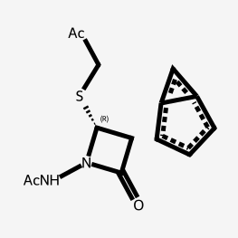 CC(=O)CS[C@@H]1CC(=O)N1NC(C)=O.c1cc2cc-2c1